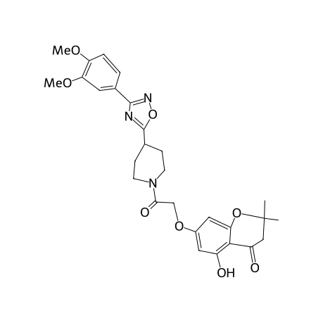 COc1ccc(-c2noc(C3CCN(C(=O)COc4cc(O)c5c(c4)OC(C)(C)CC5=O)CC3)n2)cc1OC